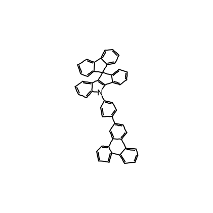 c1ccc2c(c1)-c1ccccc1C21c2ccccc2-c2c1c1ccccc1n2-c1ccc(-c2ccc3c4ccccc4c4ccccc4c3c2)cc1